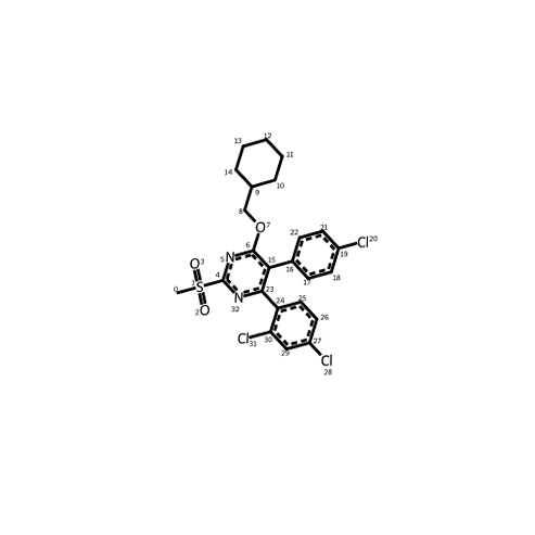 CS(=O)(=O)c1nc(OCC2CCCCC2)c(-c2ccc(Cl)cc2)c(-c2ccc(Cl)cc2Cl)n1